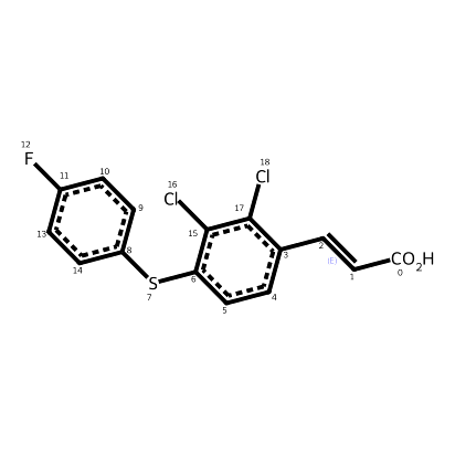 O=C(O)/C=C/c1ccc(Sc2ccc(F)cc2)c(Cl)c1Cl